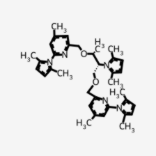 Cc1cc(COC[C@H]([C@@H](C)OCc2cc(C)cc(-n3c(C)ccc3C)n2)n2c(C)ccc2C)nc(-n2c(C)ccc2C)c1